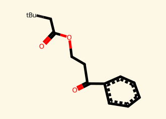 CC(C)(C)CC(=O)OCCC(=O)c1ccccc1